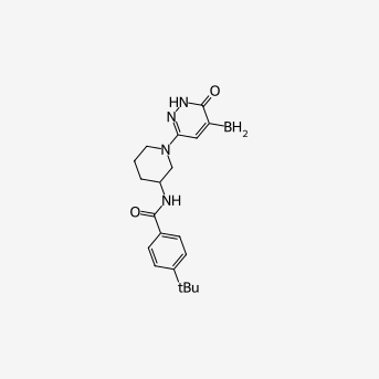 Bc1cc(N2CCCC(NC(=O)c3ccc(C(C)(C)C)cc3)C2)n[nH]c1=O